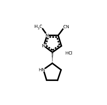 Cl.Cn1nc([C@@H]2CCCN2)cc1C#N